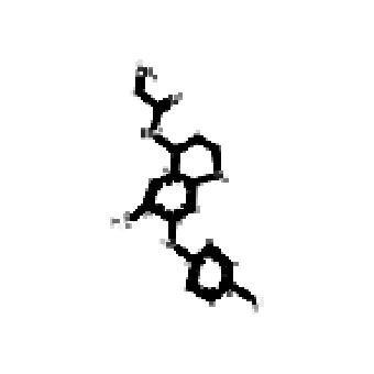 C=CC(=O)NC1CCOc2cc(Oc3ccc(Cl)cc3)c(C)cc21